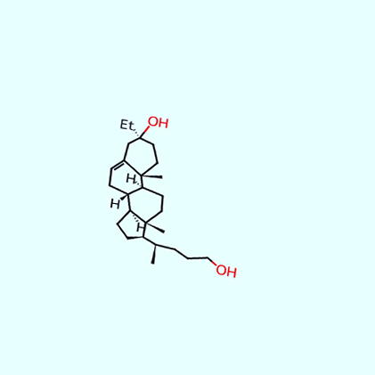 CC[C@]1(O)CC[C@@]2(C)C(=CC[C@H]3[C@@H]4CC[C@H]([C@H](C)CCCO)[C@@]4(C)CC[C@@H]32)C1